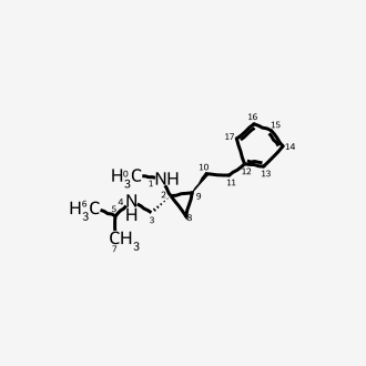 CN[C@]1(CNC(C)C)C[C@@H]1CCc1ccccc1